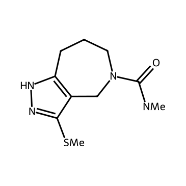 CNC(=O)N1CCCc2[nH]nc(SC)c2C1